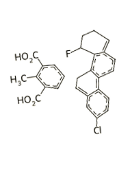 Cc1c(C(=O)O)cccc1C(=O)O.FC1CCC=c2ccc3c(c21)CC=c1cc(Cl)ccc1=3